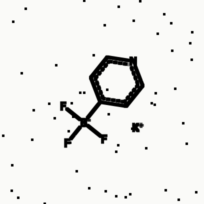 F[B-](F)(F)c1ccncc1.[K+]